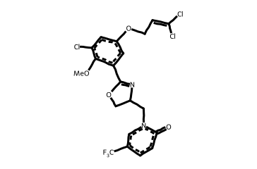 COc1c(Cl)cc(OCC=C(Cl)Cl)cc1C1=NC(Cn2cc(C(F)(F)F)ccc2=O)CO1